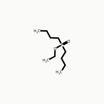 CCCCP(=O)(CCCC)OCC